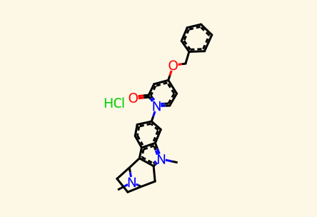 CN1C2CCC1c1c(n(C)c3cc(-n4ccc(OCc5ccccc5)cc4=O)ccc13)C2.Cl